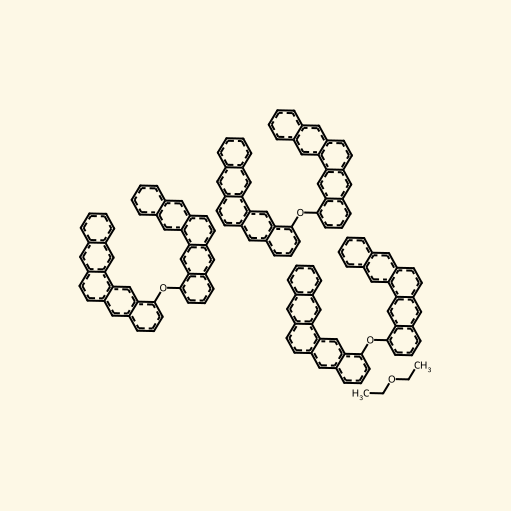 CCOCC.c1ccc2cc3c(ccc4cc5cccc(Oc6cccc7cc8ccc9cc%10ccccc%10cc9c8cc67)c5cc43)cc2c1.c1ccc2cc3c(ccc4cc5cccc(Oc6cccc7cc8ccc9cc%10ccccc%10cc9c8cc67)c5cc43)cc2c1.c1ccc2cc3c(ccc4cc5cccc(Oc6cccc7cc8ccc9cc%10ccccc%10cc9c8cc67)c5cc43)cc2c1